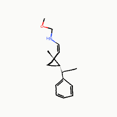 COCN/C=C\[C@@]1(C)C[C@H]1C(C)c1ccccc1